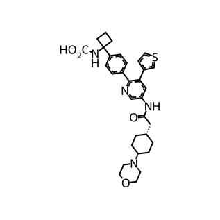 O=C(O)NC1(c2ccc(-c3ncc(NC(=O)C[C@H]4CC[C@H](N5CCOCC5)CC4)cc3-c3ccsc3)cc2)CCC1